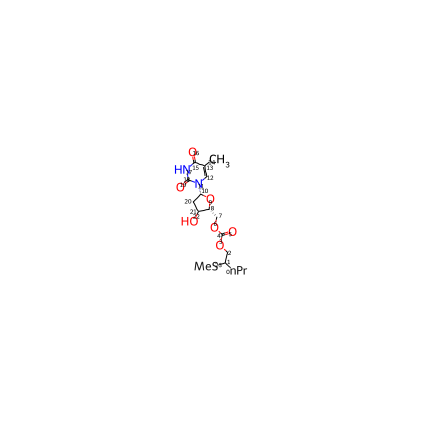 CCCC(COC(=O)OC[C@H]1O[C@@H](n2cc(C)c(=O)[nH]c2=O)CC1O)SC